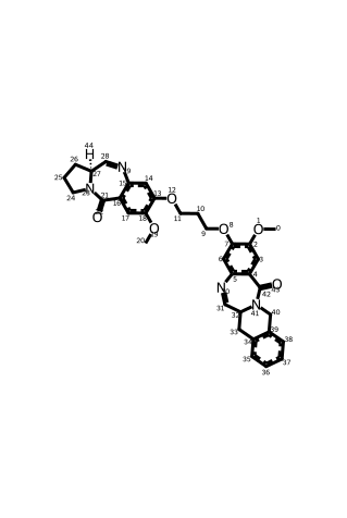 COc1cc2c(cc1OCCCOc1cc3c(cc1OC)C(=O)N1CCC[C@H]1C=N3)N=CC1Cc3ccccc3CN1C2=O